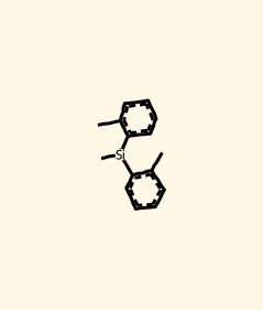 Cc1ccccc1[Si](C)c1ccccc1C